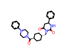 O=C1CC(c2ccccc2)NC(=O)N1C[C@H]1CC[C@H](C(=O)N2CCN(c3ccccc3)CC2)CC1